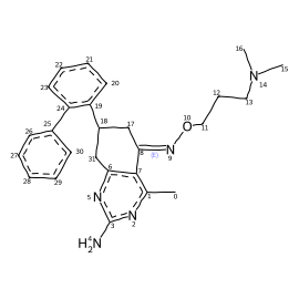 Cc1nc(N)nc2c1/C(=N/OCCCN(C)C)CC(c1ccccc1-c1ccccc1)C2